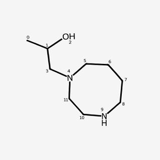 CC(O)CN1CCCCNCC1